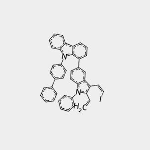 C=Cc1c(/C=C\I)c2cc(-c3cccc4c5ccccc5n(-c5ccc(-c6ccccc6)cc5)c34)ccc2n1-c1ccccc1